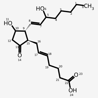 CCCCCC(O)C=C[C@H]1C(O)CC(=O)[C@@H]1CC=CCCCC(=O)O